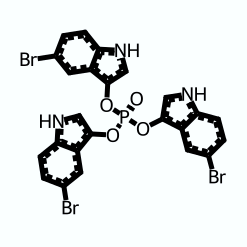 O=P(Oc1c[nH]c2ccc(Br)cc12)(Oc1c[nH]c2ccc(Br)cc12)Oc1c[nH]c2ccc(Br)cc12